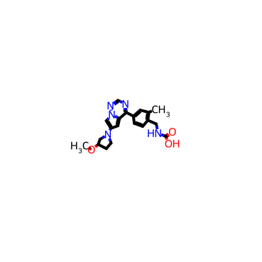 COC1CCN(c2cc3c(-c4ccc(CNC(=O)O)c(C)c4)ncnn3c2)C1